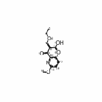 CCOC=C(C(=O)O)C(=O)c1cccc(OC)n1